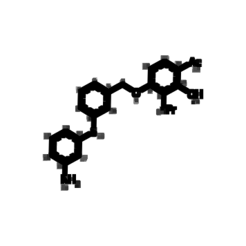 CCCc1c(OCc2cccc(Sc3cccc(N)c3)c2)ccc(C(C)=O)c1O